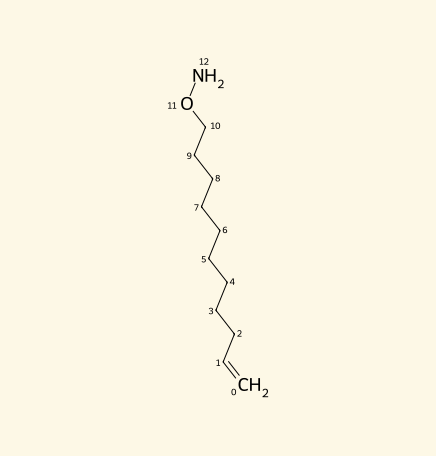 C=CCCCCCCCCCON